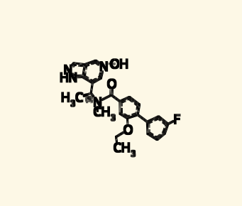 CCOc1cc(C(=O)N(C)[C@@H](C)c2c[n+](O)cc3cn[nH]c23)ccc1-c1cccc(F)c1